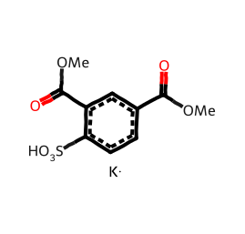 COC(=O)c1ccc(S(=O)(=O)O)c(C(=O)OC)c1.[K]